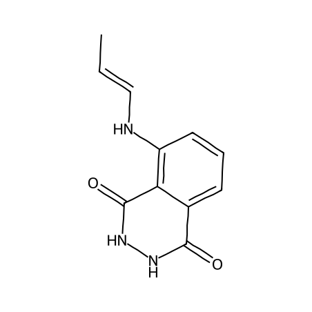 CC=CNc1cccc2c(=O)[nH][nH]c(=O)c12